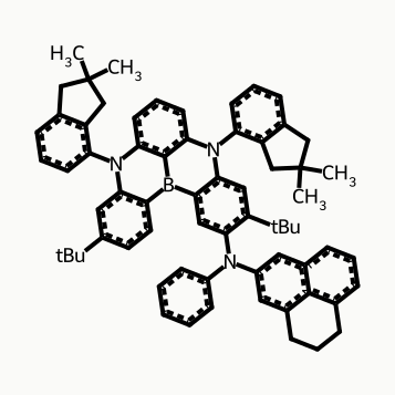 CC1(C)Cc2cccc(N3c4cc(C(C)(C)C)ccc4B4c5cc(N(c6ccccc6)c6cc7c8c(cccc8c6)CCC7)c(C(C)(C)C)cc5N(c5cccc6c5CC(C)(C)C6)c5cccc3c54)c2C1